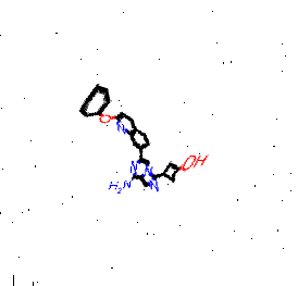 Nc1nc(-c2ccc3ccc(Oc4ccccc4)nc3c2)cn2c(C3CC(O)C3)ncc12